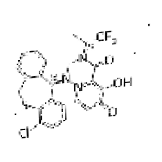 C[C@@H](N1CN([C@@H]2c3ccccc3CSc3c(Cl)cccc32)n2ccc(=O)c(O)c2C1=O)C(F)(F)F